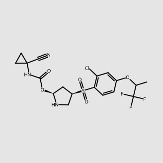 CC(Oc1ccc(S(=O)(=O)[C@H]2CN[C@@H](OC(=O)NC3(C#N)CC3)C2)c(Cl)c1)C(F)(F)F